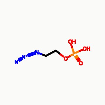 [N-]=[N+]=NCCOP(=O)(O)O